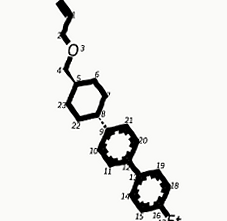 C=CCOC[C@H]1CC[C@H](c2ccc(-c3ccc(CC)cc3)cc2)CC1